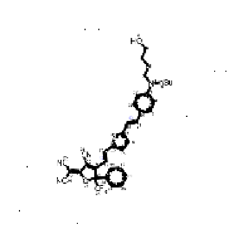 CCCCN(CCCCO)c1ccc(/C=C/c2ccc(/C=C/C3=C(C#N)C(=C(C#N)C#N)OC3(c3ccccc3)C(F)(F)F)s2)cc1